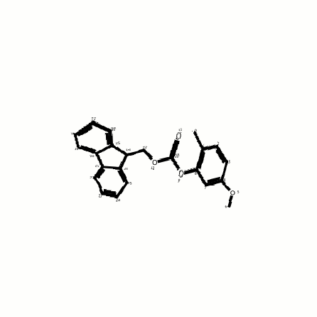 [CH2]c1ccc(OC)cc1OC(=O)OCC1c2ccccc2-c2ccccc21